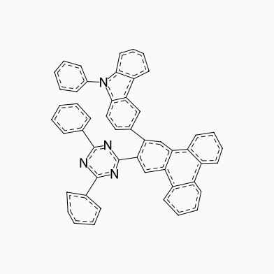 c1ccc(-c2nc(-c3ccccc3)nc(-c3cc4c5ccccc5c5ccccc5c4cc3-c3ccc4c(c3)c3ccccc3n4-c3ccccc3)n2)cc1